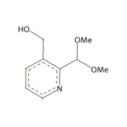 COC(OC)c1n[c]ccc1CO